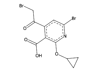 O=C(CBr)c1cc(Br)nc(OC2CC2)c1C(=O)O